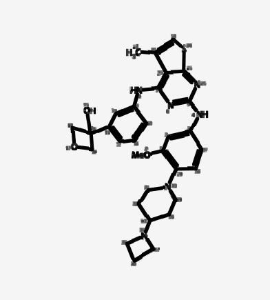 COc1cc(Nc2nc(Nc3cccc(C4(O)COC4)c3)c3c(C)csc3n2)ccc1N1CCC(N2CCC2)CC1